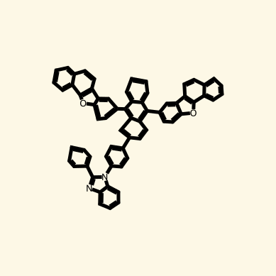 c1ccc(-c2nc3ccccc3n2-c2ccc(-c3ccc4c(-c5ccc6oc7c8ccccc8ccc7c6c5)c5ccccc5c(-c5ccc6oc7c8ccccc8ccc7c6c5)c4c3)cc2)cc1